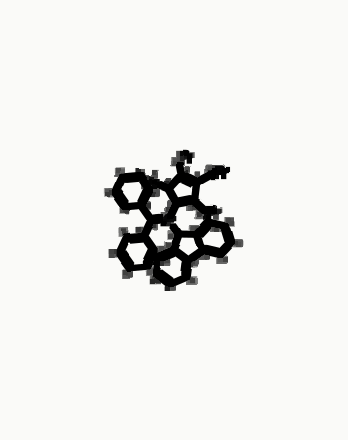 CC(C)C1=C(C(C)C)C(C(C)C)[C]([Zr](=[C](c2ccccc2)c2ccccc2)[CH]2c3ccccc3-c3ccccc32)=C1C(C)C